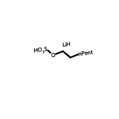 CCCCCCCOS(=O)(=O)O.[LiH]